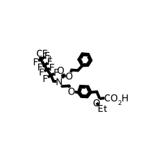 CCOC(Cc1ccc(OCCN(CC(F)(F)C(F)(F)C(F)(F)C(F)(F)C(F)(F)F)C(=O)OCCc2ccccc2)cc1)C(=O)O